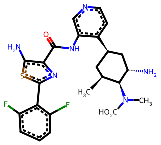 C[C@H]1C[C@@H](c2ccncc2NC(=O)c2nc(-c3c(F)cccc3F)sc2N)C[C@H](N)[C@H]1N(C)C(=O)O